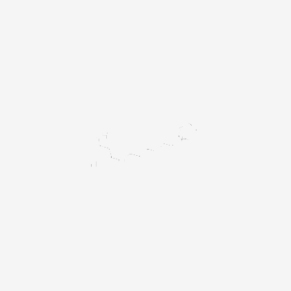 CCCC(C)OCCCOCCN1CCCC1